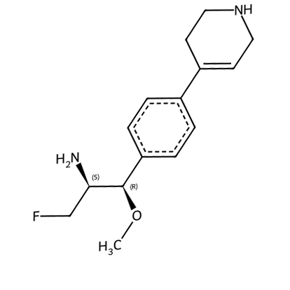 CO[C@H](c1ccc(C2=CCNCC2)cc1)[C@H](N)CF